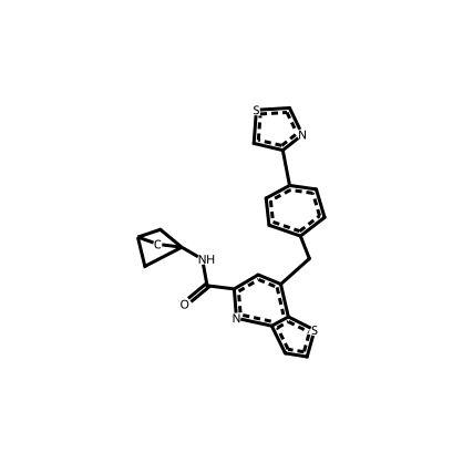 O=C(NC12CC(C1)C2)c1cc(Cc2ccc(-c3cscn3)cc2)c2sccc2n1